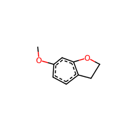 COc1ccc2c(c1)OCC2